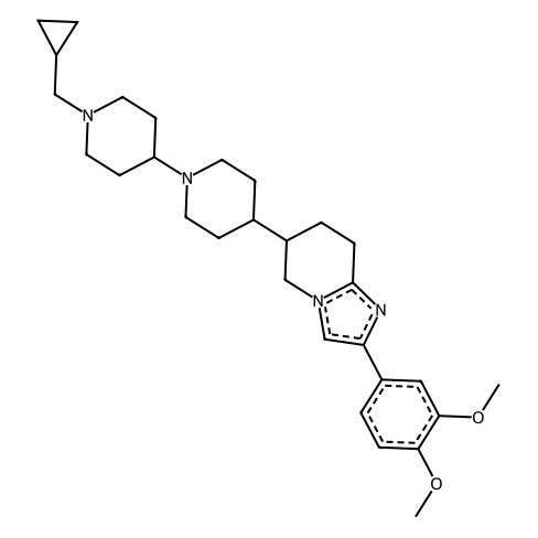 COc1ccc(-c2cn3c(n2)CCC(C2CCN(C4CCN(CC5CC5)CC4)CC2)C3)cc1OC